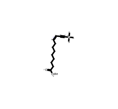 COC(=O)CCCCCCC/C=C\C#C[Si](C)(C)C